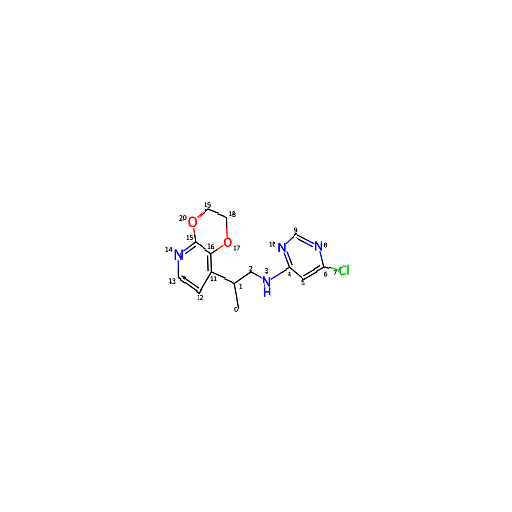 CC(CNc1cc(Cl)ncn1)c1ccnc2c1OCCO2